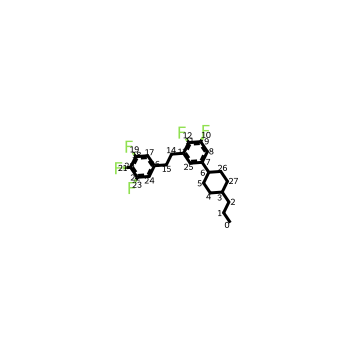 CCCC1CCC(c2cc(F)c(F)c(CCc3cc(F)c(F)c(F)c3)c2)CC1